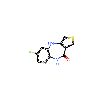 O=C1Nc2ccc(F)cc2Nc2cscc21